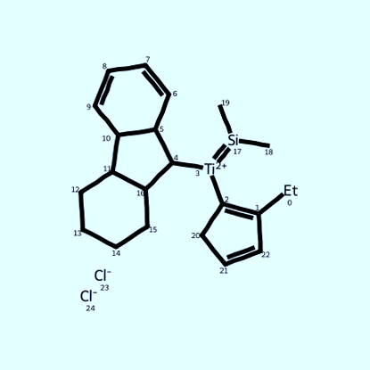 CCC1=[C]([Ti+2]([CH]2C3C=CC=CC3C3CCCCC32)=[Si](C)C)CC=C1.[Cl-].[Cl-]